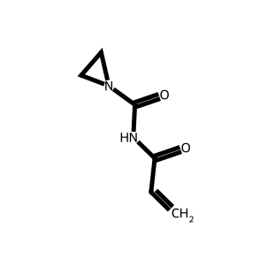 C=CC(=O)NC(=O)N1CC1